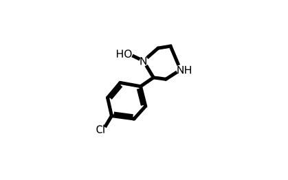 ON1CCNCC1c1ccc(Cl)cc1